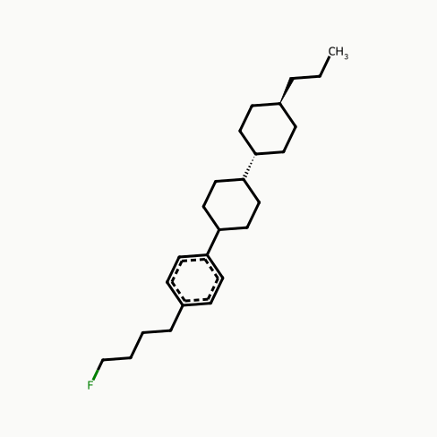 CCC[C@H]1CC[C@H](C2CCC(c3ccc(CCCCF)cc3)CC2)CC1